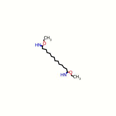 CCOC(=N)CCCCCCCCCCCCC(=N)OCC